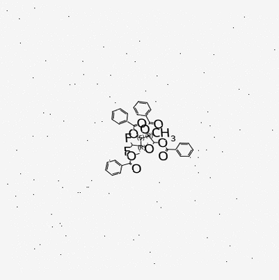 C[C@]1(OC(=O)c2ccccc2)C(OC(=O)c2ccccc2)O[C@@](COC(=O)c2ccccc2)(C(F)F)[C@H]1OC(=O)c1ccccc1